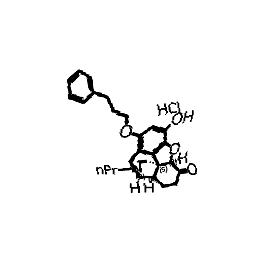 CCCN1CC[C@]23c4c5c(OCCCc6ccccc6)cc(O)c4O[C@H]2C(=O)CC[C@H]3[C@H]1C5.Cl